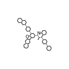 C=C1C(c2ccc(-c3ccccc3)cc2)=c2ccccc2=NC1c1cc(-c2ccc(-c3ccc4ccccc4c3)cc2)c2oc3cc4ccccc4cc3c2c1